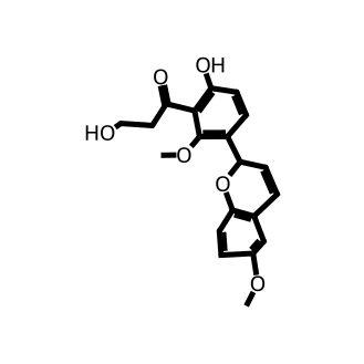 COc1ccc2c(c1)C=CC(c1ccc(O)c(C(=O)CCO)c1OC)O2